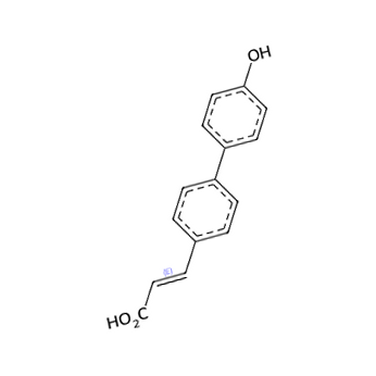 O=C(O)/C=C/c1ccc(-c2ccc(O)cc2)cc1